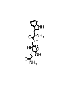 NC(=O)CC[C@H](NC(=O)CNC(=O)[C@@H](N)Cc1c[nH]c2ccccc12)C(=O)O